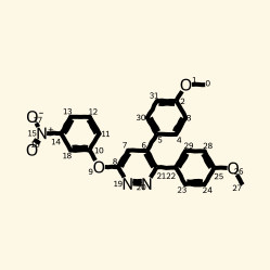 COc1ccc(-c2cc(Oc3cccc([N+](=O)[O-])c3)nnc2-c2ccc(OC)cc2)cc1